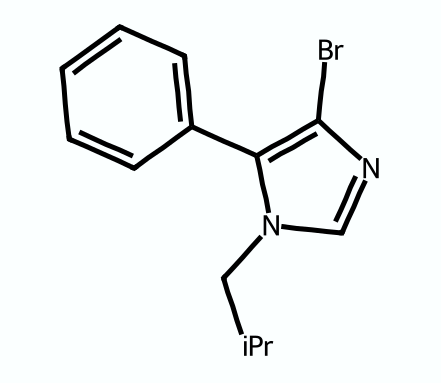 CC(C)Cn1cnc(Br)c1-c1ccccc1